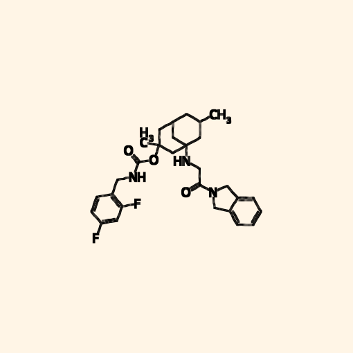 CC1CC2CC(NCC(=O)N3Cc4ccccc4C3)(C1)CC(C)(OC(=O)NCc1ccc(F)cc1F)C2